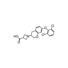 O=C(O)C1CN(C2COc3cc(Oc4c(Cl)cccc4Cl)ccc3C2)C1